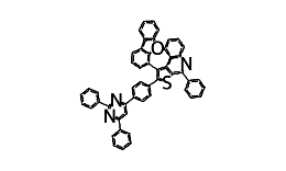 c1ccc(-c2cc(-c3ccc(-c4sc5c(-c6ccccc6)nc6ccccc6c5c4-c4cccc5c4oc4ccccc45)cc3)nc(-c3ccccc3)n2)cc1